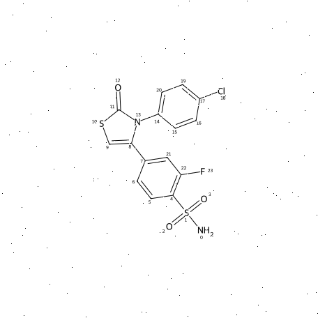 NS(=O)(=O)c1ccc(-c2csc(=O)n2-c2ccc(Cl)cc2)cc1F